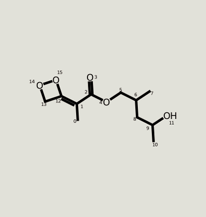 C/C(C(=O)OCC(C)CC(C)O)=C1\COO1